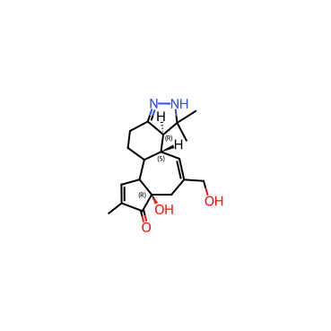 CC1=CC2C3CCC4=NNC(C)(C)[C@H]4[C@@H]3C=C(CO)C[C@]2(O)C1=O